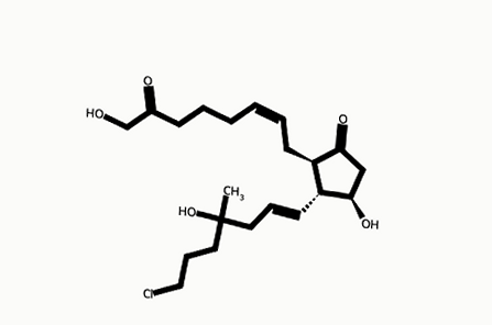 CC(O)(C/C=C/[C@H]1[C@H](O)CC(=O)[C@@H]1C/C=C\CCCC(=O)CO)CCCCl